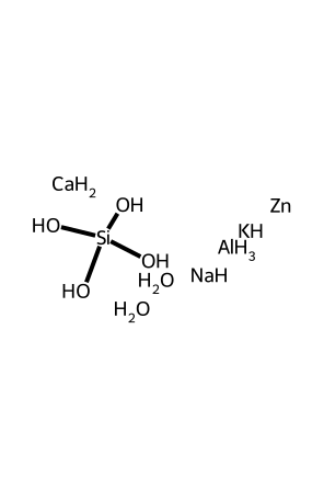 O.O.O[Si](O)(O)O.[AlH3].[CaH2].[KH].[NaH].[Zn]